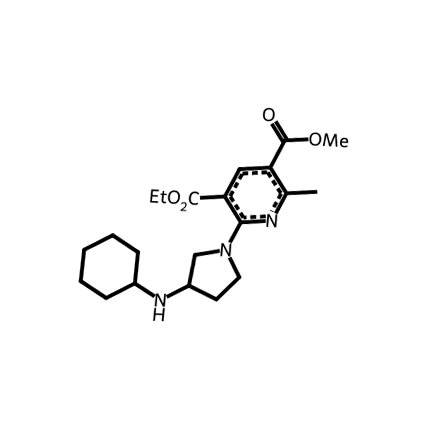 CCOC(=O)c1cc(C(=O)OC)c(C)nc1N1CCC(NC2CCCCC2)C1